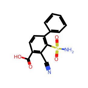 N#Cc1c(C(=O)O)ccc(-c2ccccc2)c1S(N)(=O)=O